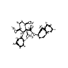 C[C@]1(C(=O)Oc2ccc3ccccc3c2)C(=O)CCC(=O)N1c1ccccc1